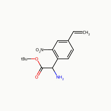 C=Cc1ccc(C(N)C(=O)OC(C)(C)C)c([N+](=O)[O-])c1